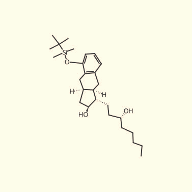 CCCCC[C@@H](O)CC[C@H]1[C@@H]2Cc3cccc(O[Si](C)(C)C(C)(C)C)c3C[C@@H]2C[C@@H]1O